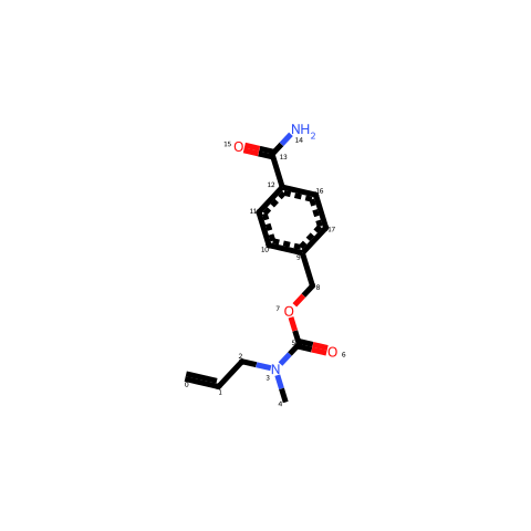 C=CCN(C)C(=O)OCc1ccc(C(N)=O)cc1